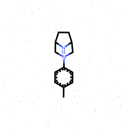 Cc1ccc(N2CC3CCC(C2)N3)cc1